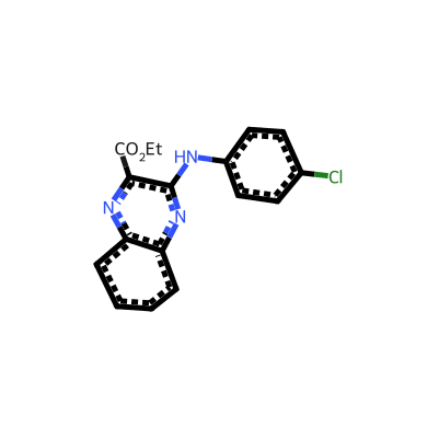 CCOC(=O)c1nc2ccccc2nc1Nc1ccc(Cl)cc1